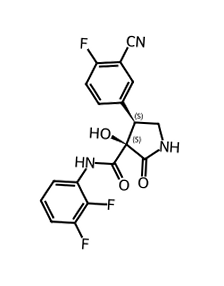 N#Cc1cc([C@H]2CNC(=O)[C@]2(O)C(=O)Nc2cccc(F)c2F)ccc1F